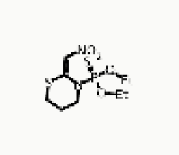 CCOP(=S)(OCC)N1CCCSC1=C[N+](=O)[O-]